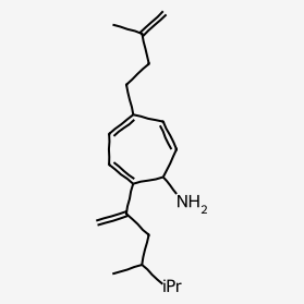 C=C(C)CCC1=CC=C(C(=C)CC(C)C(C)C)C(N)C=C1